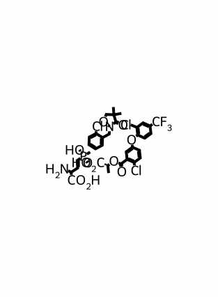 CC1(C)CON(Cc2ccccc2Cl)C1=O.CP(=O)(O)CCC(N)C(=O)O.C[C@H](OC(=O)c1cc(Oc2ccc(C(F)(F)F)cc2Cl)ccc1Cl)C(=O)O